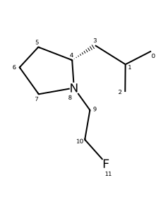 CC(C)C[C@H]1CCCN1CCF